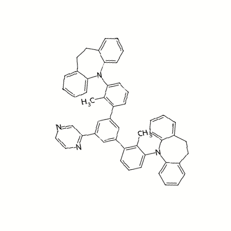 Cc1c(-c2cc(-c3cnccn3)cc(-c3cccc(N4c5ccccc5CCc5ccccc54)c3C)c2)cccc1N1c2ccccc2CCc2ccccc21